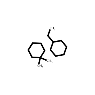 CC1(C)CCCCC1.CCC1CCCCC1